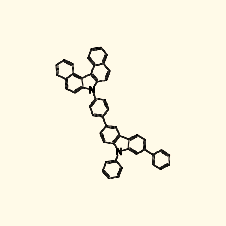 c1ccc(-c2ccc3c4cc(-c5ccc(-n6c7ccc8ccccc8c7c7c8ccccc8ccc76)cc5)ccc4n(-c4ccccc4)c3c2)cc1